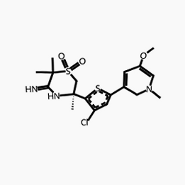 COC1=CN(C)CC(c2cc(Cl)c([C@]3(C)CS(=O)(=O)C(C)(C)C(=N)N3)s2)=C1